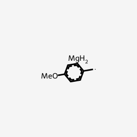 [CH2]c1ccc(OC)cc1.[MgH2]